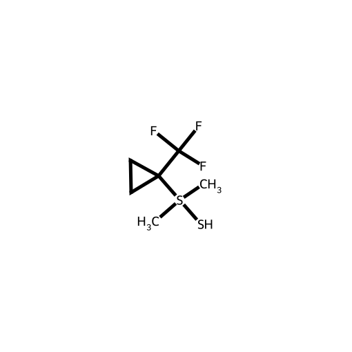 CS(C)(S)C1(C(F)(F)F)CC1